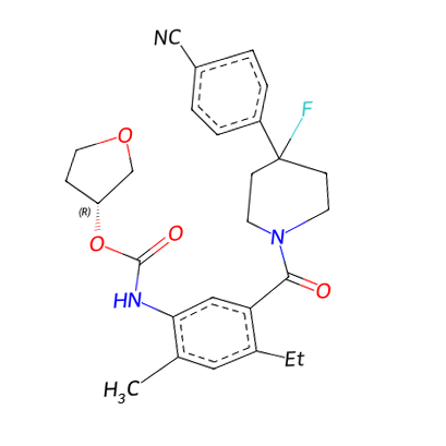 CCc1cc(C)c(NC(=O)O[C@@H]2CCOC2)cc1C(=O)N1CCC(F)(c2ccc(C#N)cc2)CC1